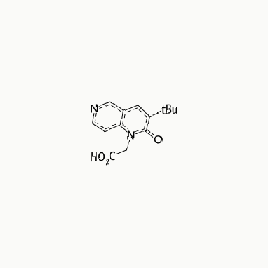 CC(C)(C)c1cc2cnccc2n(CC(=O)O)c1=O